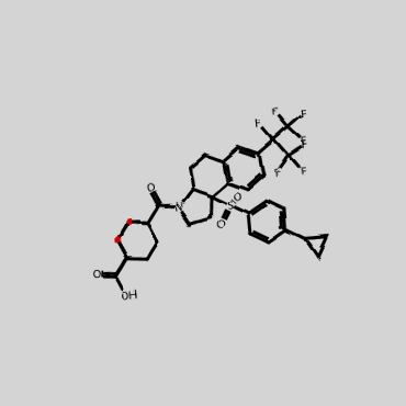 O=C(O)C12CCC(C(=O)N3CCC4(S(=O)(=O)c5ccc(C6CC6)cc5)c5ccc(C(F)(C(F)(F)F)C(F)(F)F)cc5CCC34)(CC1)CC2